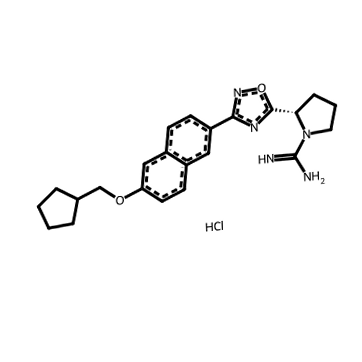 Cl.N=C(N)N1CCC[C@H]1c1nc(-c2ccc3cc(OCC4CCCC4)ccc3c2)no1